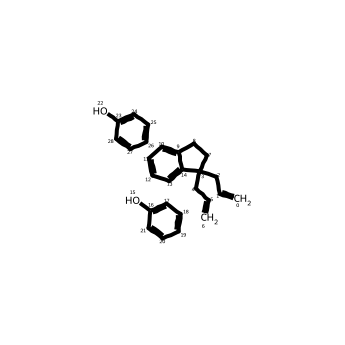 C=CCC1(CC=C)CCc2ccccc21.Oc1ccccc1.Oc1ccccc1